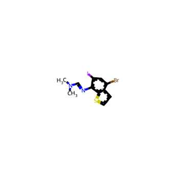 CN(C)/C=N/c1c(I)cc(Br)c2ccsc12